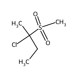 CCC(C)(Cl)S(C)(=O)=O